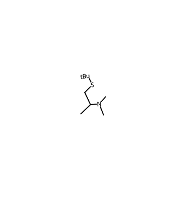 CC(CSC(C)(C)C)N(C)C